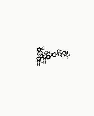 COc1cc(C2CCN(C(=O)OC(C)(C)C)CC2)ccc1Nc1cc(Cc2c(Cl)cccc2Cl)nc2cn[nH]c(=O)c12